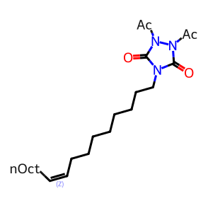 CCCCCCCC/C=C\CCCCCCCCn1c(=O)n(C(C)=O)n(C(C)=O)c1=O